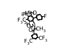 [2H]c1c(-c2ccc(F)cc2OC)c(CN2C(=O)O[C@H](c3cc(C(F)(F)F)cc(C(F)(F)F)c3)[C@@H]2C)c([2H])c(C(F)(F)F)c1C(C)C